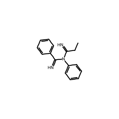 CCC(=N)N(C(=N)c1ccccc1)c1ccccc1